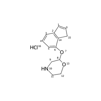 C1=Cc2cccc(OC3CNCCO3)c2C1.Cl